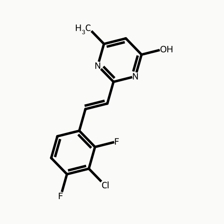 Cc1cc(O)nc(C=Cc2ccc(F)c(Cl)c2F)n1